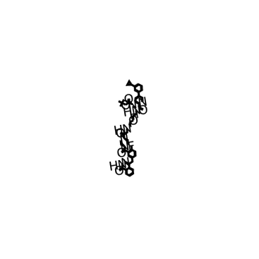 CC(C)(C)OC(=O)Nc1cc(-c2cccc(C3CC3)c2)cnc1C(=O)NCCOCCNCC(=O)N1CCN(C(=O)c2cc(Cc3n[nH]c(=O)c4ccccc34)ccc2F)CC1